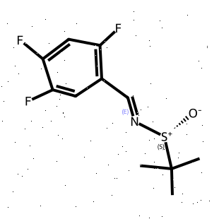 CC(C)(C)[S@@+]([O-])/N=C/c1cc(F)c(F)cc1F